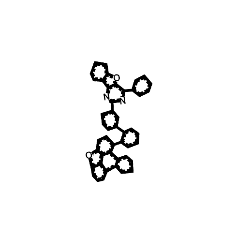 c1ccc(-c2nc(-c3cccc(-c4ccccc4-c4ccc5oc6cccc7c8ccccc8c4c5c67)c3)nc3c2oc2ccccc23)cc1